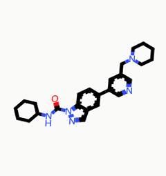 O=C(NC1CCCCC1)n1ncc2cc(-c3cncc(CN4CCCCC4)c3)ccc21